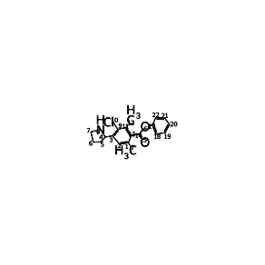 Cc1cc(C2CCCN2)c(Cl)c(C)c1C(=O)Oc1ccccc1